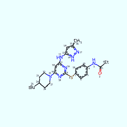 CCC(=O)Nc1ccc(Sc2nc(Nc3cc(C)n[nH]3)cc(N3CCC(C(C)(C)C)CC3)n2)cc1